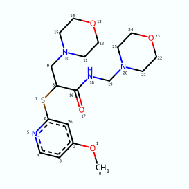 COc1ccnc(SC(CN2CCOCC2)C(=O)NCN2CCOCC2)c1